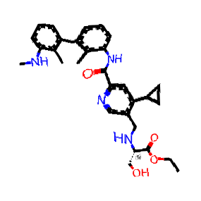 CCOC(=O)[C@H](CO)NCc1cnc(C(=O)Nc2cccc(-c3cccc(NC)c3C)c2C)cc1C1CC1